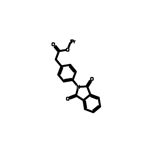 CC(C)OC(=O)Cc1ccc(N2C(=O)c3ccccc3C2=O)cc1